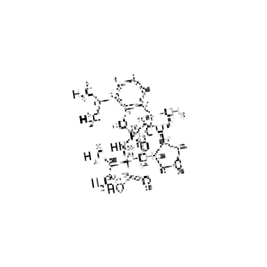 CC(C)c1cccc(C(C)C)c1OP(=O)(CO[C@@H]1CCOC1)NC(C)(C(=O)O)C(C)C